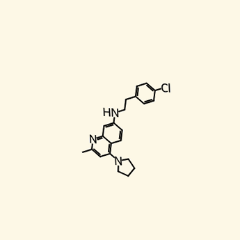 Cc1cc(N2CCCC2)c2ccc(NCCc3ccc(Cl)cc3)cc2n1